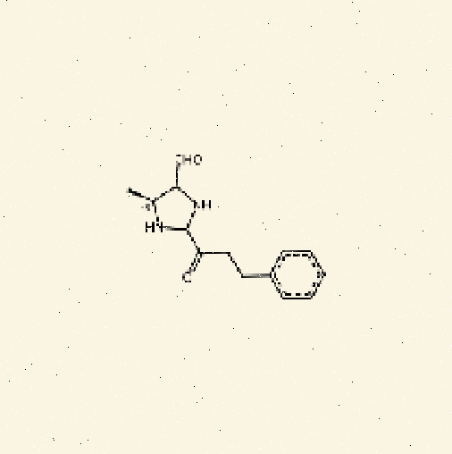 C[C@@H]1NC(C(=O)CCc2ccccc2)NC1C=O